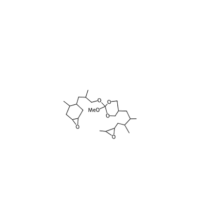 COC1(OCC(C)CC2CC3OC3CC2C)OCC(CC(C)C(C)CC2OC2C)CO1